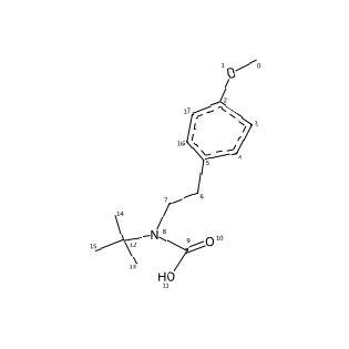 COc1ccc(CCN(C(=O)O)C(C)(C)C)cc1